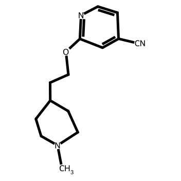 CN1CCC(CCOc2cc(C#N)ccn2)CC1